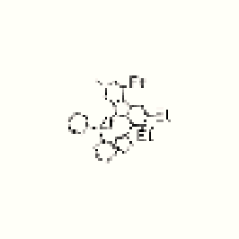 CCC1=CC2=c3c(CC)cc(C)cc3=[C]([Zr]=[C](c3ccccc3)c3ccccc3)C2=C(C2=CC=CC2)C1(C)CC